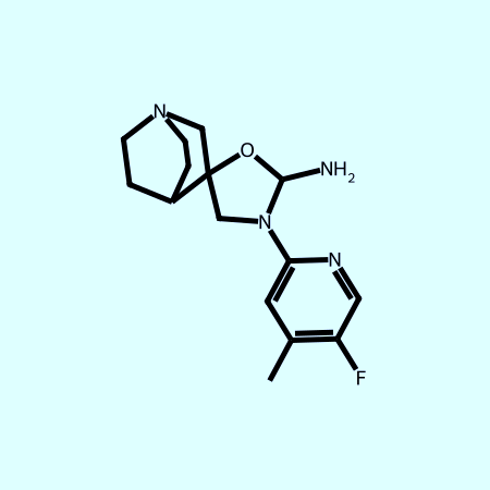 Cc1cc(N2CC3(CN4CCC3CC4)OC2N)ncc1F